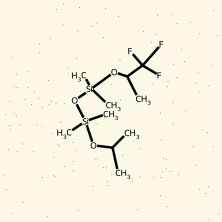 CC(C)O[Si](C)(C)O[Si](C)(C)OC(C)C(F)(F)F